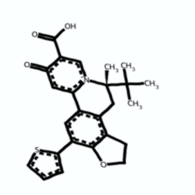 CC(C)(C)[C@]1(C)Cc2c(cc(-c3cccs3)c3c2CCO3)-c2cc(=O)c(C(=O)O)cn21